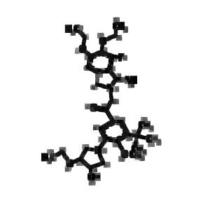 CCOc1cc2c(c(F)c1OCC)C(=N)N(CC(=O)c1cc(N3CC(O)C(OCC)C3)c(OC)c(C(C)(C)C)c1)C2